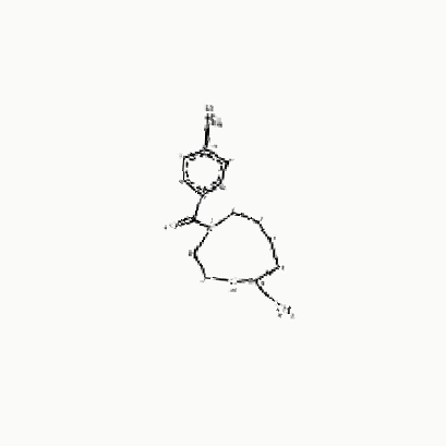 CN1CCCCN(C(=O)c2ccc(C(C)(C)C)cc2)CCC1